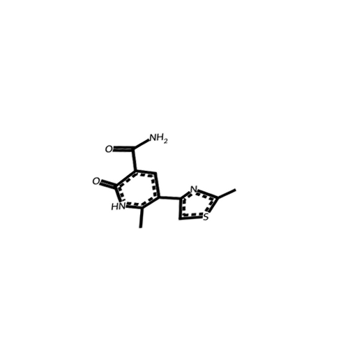 Cc1nc(-c2cc(C(N)=O)c(=O)[nH]c2C)cs1